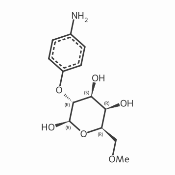 COC[C@H]1O[C@@H](O)[C@H](Oc2ccc(N)cc2)[C@@H](O)[C@H]1O